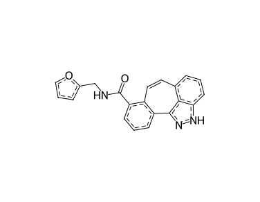 O=C(NCc1ccco1)c1cccc2c1C=Cc1cccc3[nH]nc-2c13